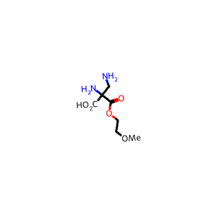 COCCOC(=O)C(N)(CN)C(=O)O